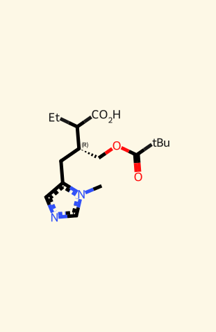 CCC(C(=O)O)[C@H](COC(=O)C(C)(C)C)Cc1cncn1C